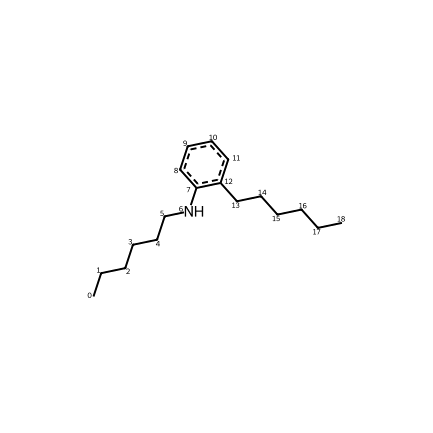 CCCCCCNc1ccccc1CCCCCC